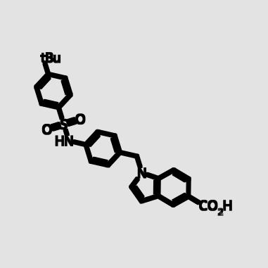 CC(C)(C)c1ccc(S(=O)(=O)Nc2ccc(Cn3ccc4cc(C(=O)O)ccc43)cc2)cc1